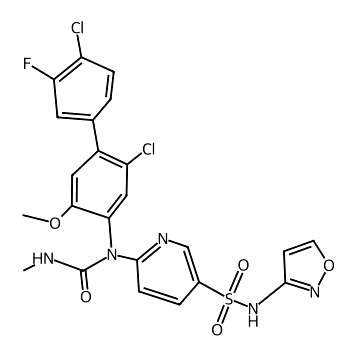 CNC(=O)N(c1ccc(S(=O)(=O)Nc2ccon2)cn1)c1cc(Cl)c(-c2ccc(Cl)c(F)c2)cc1OC